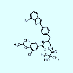 CC(C)Oc1ccc(C(=O)NC(CNC(=O)C(C)(C)O)Cc2ccc(-c3cn4cccc(Br)c4n3)cc2)cc1Cl